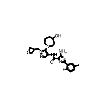 Cc1ccc(F)c(-c2nc(C(=O)Nc3cnn(CC4COC4)c3N3CCCC(O)CC3)c(N)s2)c1